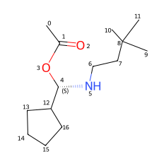 CC(=O)O[C@H](NCCC(C)(C)C)C1CCCC1